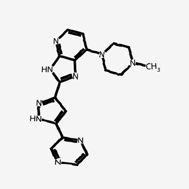 CN1CCN(c2ccnc3[nH]c(-c4cc(-c5cnccn5)[nH]n4)nc23)CC1